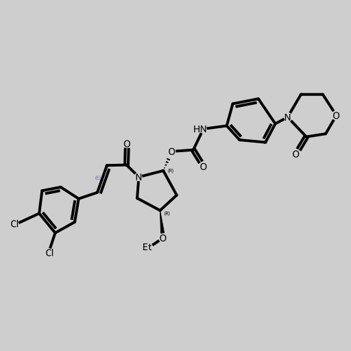 CCO[C@@H]1C[C@@H](OC(=O)Nc2ccc(N3CCOCC3=O)cc2)N(C(=O)/C=C/c2ccc(Cl)c(Cl)c2)C1